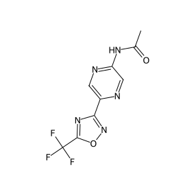 CC(=O)Nc1cnc(-c2noc(C(F)(F)F)n2)cn1